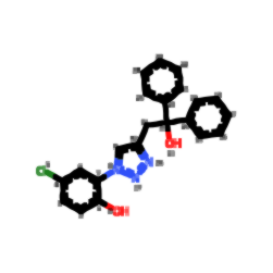 Oc1ccc(Cl)cc1-n1cc(CC(O)(c2ccccc2)c2ccccc2)nn1